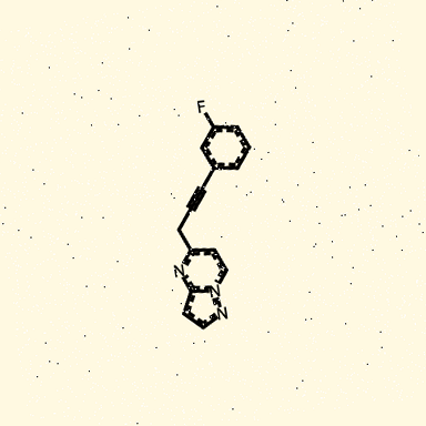 Fc1cccc(C#CCc2ccn3nccc3n2)c1